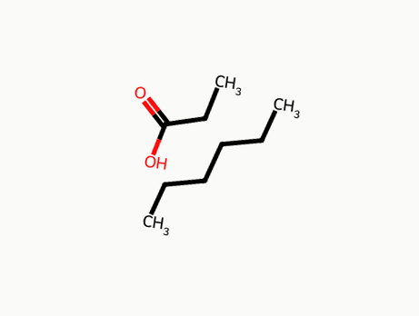 CCC(=O)O.CCCCCC